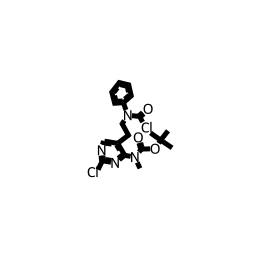 CN(C(=O)OC(C)(C)C)c1nc(Cl)ncc1CCN(C(=O)Cl)c1ccccc1